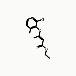 CCOC(=O)/C=C(\C)Oc1c(F)cccc1Cl